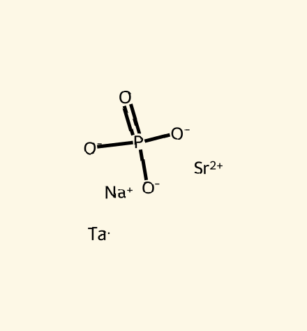 O=P([O-])([O-])[O-].[Na+].[Sr+2].[Ta]